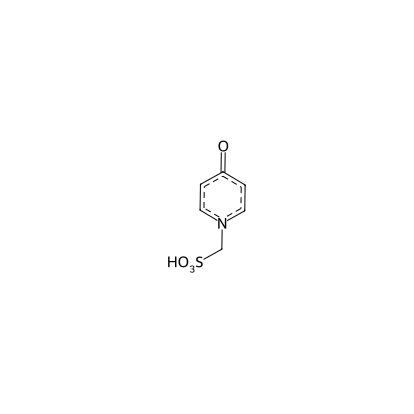 O=c1ccn(CS(=O)(=O)O)cc1